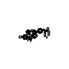 Cc1ccn(-c2cc(Cl)ccc2C(Oc2ncnc3c(C4=CCC(CC(N)C(=O)O)CC4)csc23)C(F)(F)F)n1